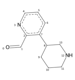 O=Cc1ncccc1C1CCCNC1